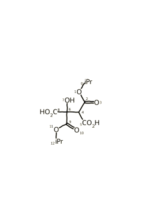 CC(C)OC(=O)C(C(=O)O)C(O)(C(=O)O)C(=O)OC(C)C